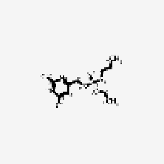 CCCS[P@@](=S)(OCC)SCc1cc(Cl)nc(Cl)n1